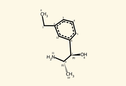 CCc1cccc([C@@H](O)[C@H](C)N)c1